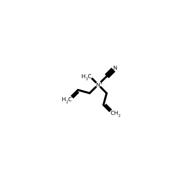 C=CC[N+](C)(C#N)CC=C